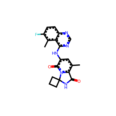 Cc1cc(Nc2ncnc3ccc(F)c(C)c23)c(=O)n2c1C(=O)NC21CCC1